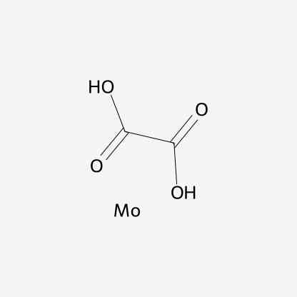 O=C(O)C(=O)O.[Mo]